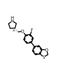 Fc1cc(-c2ccc3c(c2)OCS3)ccc1OC[C@@H]1CCNC1